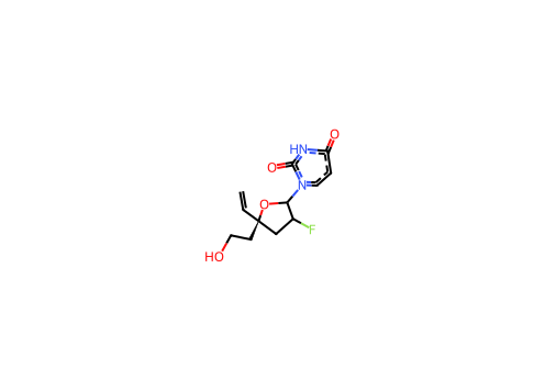 C=C[C@@]1(CCO)CC(F)C(n2ccc(=O)[nH]c2=O)O1